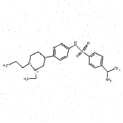 CCCN1CCN(c2ccc(NS(=O)(=O)c3ccc(C(C)C)cc3)cn2)C[C@@H]1CC